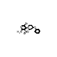 Nc1ncc(Br)c(N2CCC(Oc3ccccc3)CC2)c1[N+](=O)[O-]